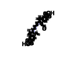 CCN1\C(=C/C=C/C=C/C2=[N+](CC=O)c3ccc(S(=O)(=O)O)cc3C2(C)C)C(C)(C)c2cc(S(=O)(=O)O)ccc21